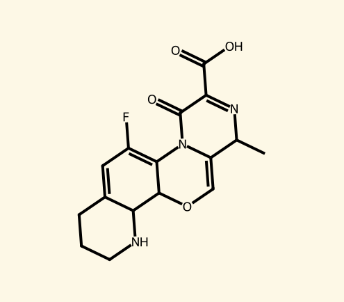 CC1N=C(C(=O)O)C(=O)N2C1=COC1C2=C(F)C=C2CCCNC21